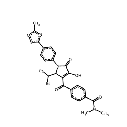 CCC(CC)C1C(C(=O)c2ccc(C(=O)N(C)C)cc2)=C(O)C(=O)N1c1ccc(-c2noc(C)n2)cc1